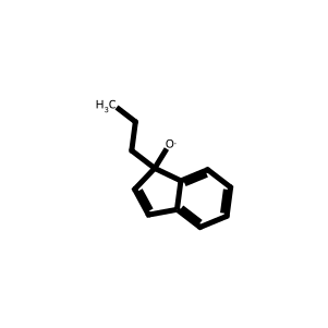 CCCC1([O])C=Cc2ccccc21